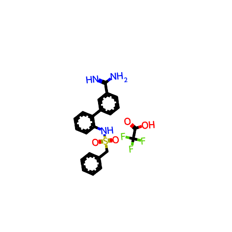 N=C(N)c1cccc(-c2ccccc2NS(=O)(=O)Cc2ccccc2)c1.O=C(O)C(F)(F)F